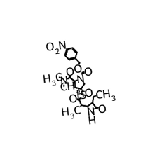 CC(O)C1C(=O)NC1[C@@H](C)C(=O)SC1CC(C(=O)N(C)C)N(C(=O)OCc2ccc([N+](=O)[O-])cc2)C1